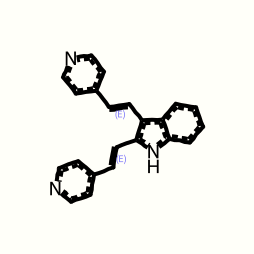 C(=C\c1[nH]c2ccccc2c1/C=C/c1ccncc1)/c1ccncc1